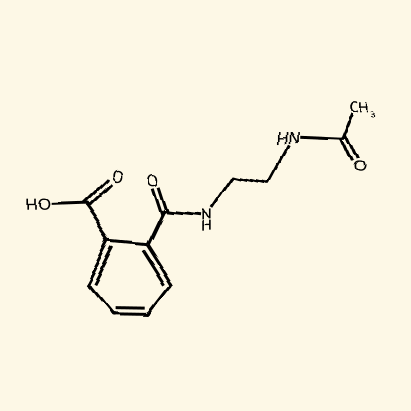 CC(=O)NCCNC(=O)c1ccccc1C(=O)O